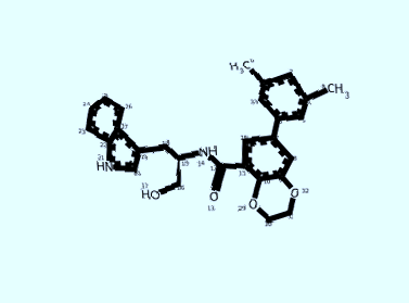 Cc1cc(C)cc(-c2cc3c(c(C(=O)N[C@@H](CO)Cc4c[nH]c5ccccc45)c2)OCCO3)c1